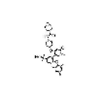 Cc1cc(F)cc(C)c1Oc1ccc(C(C)(C)O)cc1-c1cn(C)c(=O)cc1O[C@H]1CC[C@H](NC(=O)N2CCOCC2)CC1